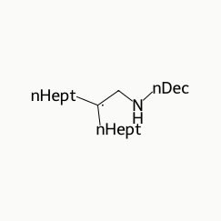 CCCCCCCCCCNC[C](CCCCCCC)CCCCCCC